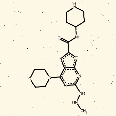 CNNc1nc(N2CCOCC2)c2nc(C(=O)NC3CCNCC3)oc2n1